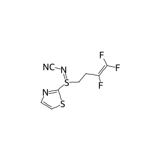 N#C/N=S(/CCC(F)=C(F)F)c1nccs1